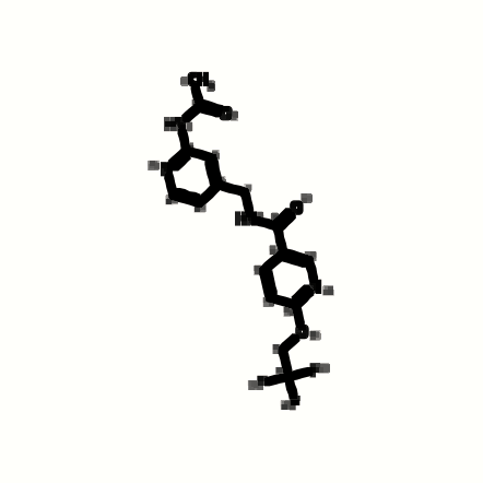 CC(=O)Nc1cc(CNC(=O)c2ccc(OCC(F)(F)F)nc2)ccn1